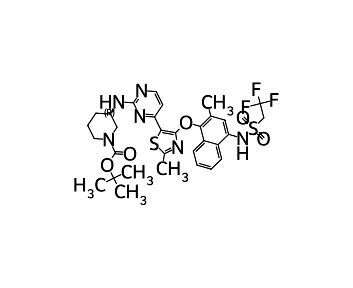 Cc1nc(Oc2c(C)cc(NS(=O)(=O)CC(F)(F)F)c3ccccc23)c(-c2ccnc(N[C@@H]3CCCN(C(=O)OC(C)(C)C)C3)n2)s1